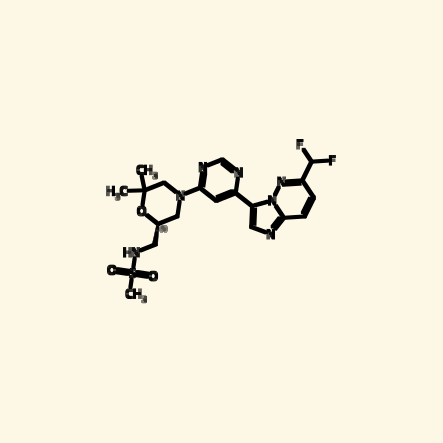 CC1(C)CN(c2cc(-c3cnc4ccc(C(F)F)nn34)ncn2)C[C@@H](CNS(C)(=O)=O)O1